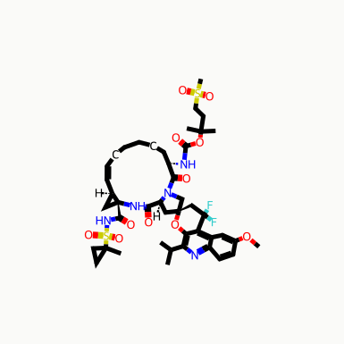 COc1ccc2nc(C(C)C)c3c(c2c1)C(F)(F)C[C@]1(C[C@H]2C(=O)N[C@]4(C(=O)NS(=O)(=O)C5(C)CC5)C[C@H]4/C=C\CCCCC[C@H](NC(=O)OC(C)(C)CCS(C)(=O)=O)C(=O)N2C1)O3